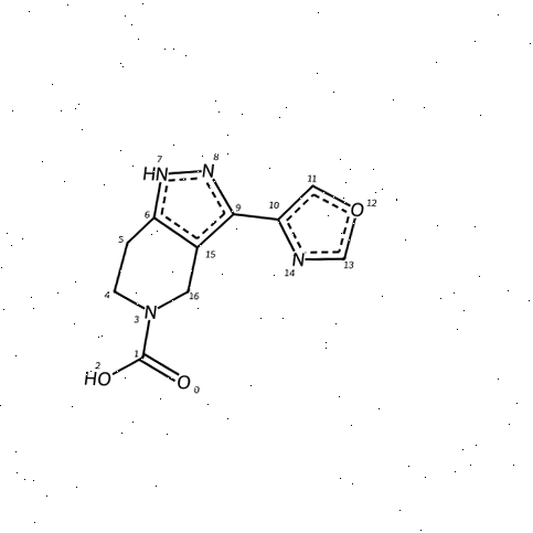 O=C(O)N1CCc2[nH]nc(-c3cocn3)c2C1